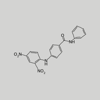 O=C(Nc1ccccc1)c1ccc(Nc2ccc([N+](=O)[O-])cc2[N+](=O)[O-])cc1